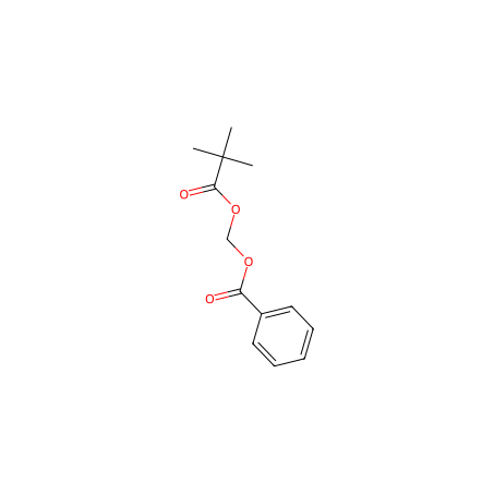 CC(C)(C)C(=O)OCOC(=O)c1ccccc1